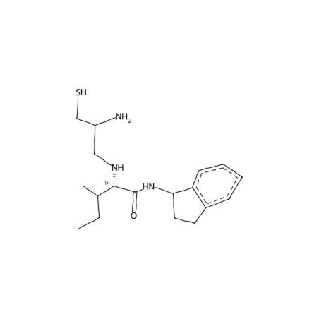 CCC(C)[C@H](NCC(N)CS)C(=O)NC1CCc2ccccc21